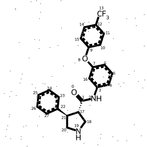 O=C(Nc1cccc(Oc2ccc(C(F)(F)F)cc2)c1)[C@@H]1CNC[C@H]1c1ccccc1